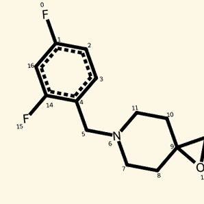 Fc1ccc(CN2CCC3(CC2)CO3)c(F)c1